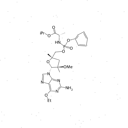 CCOc1nc(N)nc2c1ncn2[C@@H]1O[C@](C)(COP(=O)(N[C@@H](C)C(=O)OC(C)C)Oc2ccccc2)C[C@@]1(C)OC